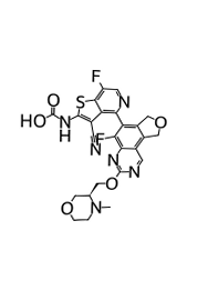 CN1CCOC[C@H]1COc1ncc2c3c(c(-c4ncc(F)c5sc(NC(=O)O)c(C#N)c45)c(F)c2n1)COC3